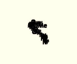 CO[C@@H]1[C@H](OC(=O)N2CC(CCc3nnn(C4=NCC4)n3)C2)CC[C@]2(CO2)[C@H]1[C@@]1(C)OC1CC=C(C)C